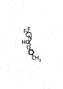 Cc1ccc(OC[C@@H](O)CN2CCC(F)(F)CC2)cc1